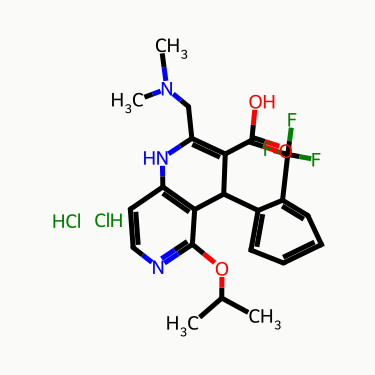 CC(C)Oc1nccc2c1C(c1ccccc1C(F)(F)F)C(C(=O)O)=C(CN(C)C)N2.Cl.Cl